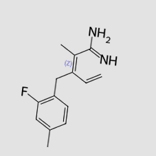 C=C/C(Cc1ccc(C)cc1F)=C(/C)C(=N)N